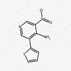 Nc1c(-c2cccs2)cncc1[N+](=O)[O-]